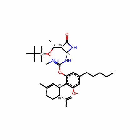 C=C(C)[C@@H]1CCC(C)=C[C@H]1c1c(O)cc(CCCCC)cc1O/C(=N\C)N[C@H]1NC(=O)[C@@H]1[C@@H](C)O[Si](C)(C)C(C)(C)C